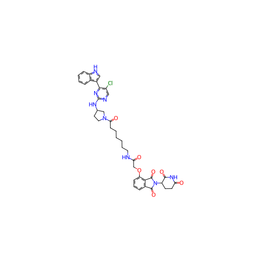 O=C(COc1cccc2c1C(=O)N(C1CCC(=O)NC1=O)C2=O)NCCCCCCC(=O)N1CCC(Nc2ncc(Cl)c(-c3c[nH]c4ccccc34)n2)C1